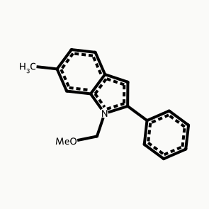 COCn1c(-c2ccccc2)cc2ccc(C)cc21